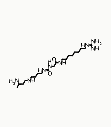 CC(N)CCNCCCCNC(=O)NCC(=O)NCCCCCCCCNC(=N)N